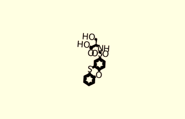 O=C(O)[C@@H](CO)NS(=O)(=O)c1ccc2c(c1)Sc1ccccc1O2